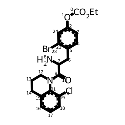 CCOC(=O)Oc1ccc(CC(N)C(=O)N2CCCc3cccc(Cl)c32)c(Br)c1